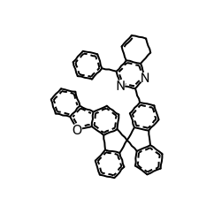 C1=Cc2c(nc(-c3ccc4c(c3)C3(c5ccccc5-4)c4ccccc4-c4c3ccc3c4oc4ccccc43)nc2-c2ccccc2)CC1